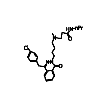 CCCNC(=O)CCN(C)CCCCn1nc(Cc2ccc(Cl)cc2)c2ccccc2c1=O